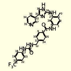 Cc1ccc(NC(=O)c2ccc(CNC(=O)Nc3ccc(C(F)(F)F)cc3)cc2)cc1Nc1nc(-c2cccnc2)c[nH]1